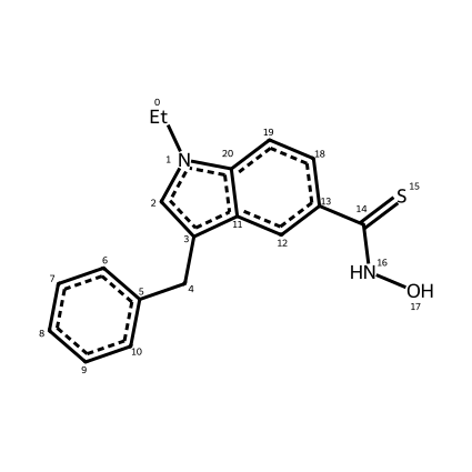 CCn1cc(Cc2ccccc2)c2cc(C(=S)NO)ccc21